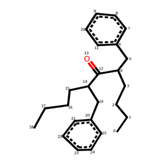 CCCCC(Cc1ccccc1)C(=O)C(CCCC)Cc1ccccc1